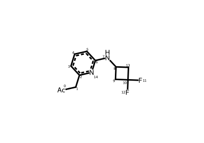 CC(=O)Cc1cccc(NC2CC(F)(F)C2)n1